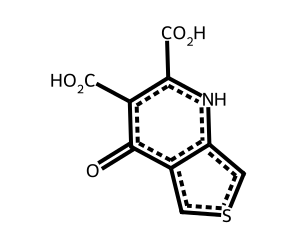 O=C(O)c1[nH]c2cscc2c(=O)c1C(=O)O